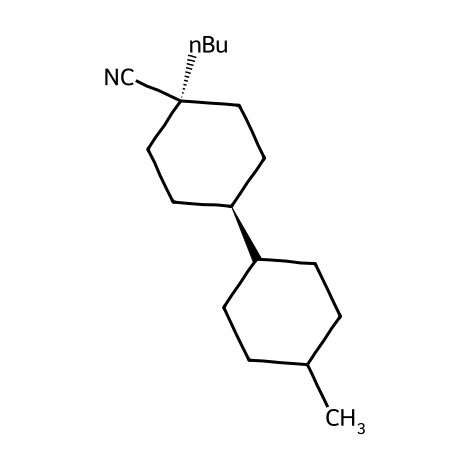 CCCC[C@]1(C#N)CC[C@@H](C2CCC(C)CC2)CC1